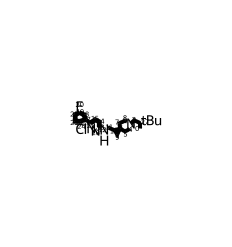 CC(CN1CCC2(CC1)CC2CNc1ccc(-c2cc(F)ccc2Cl)nn1)C(C)(C)C